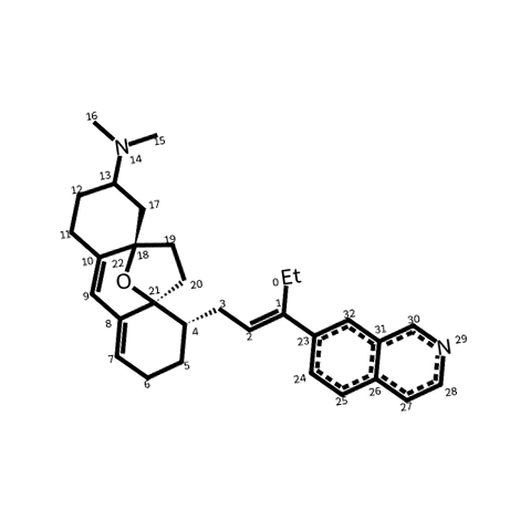 CC/C(=C\C[C@@H]1CCC=C2C=C3CCC(N(C)C)C[C@]34CC[C@@]21O4)c1ccc2ccncc2c1